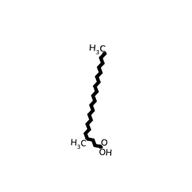 CCCCCCCCCCCCCCCCCCCC(C)CCC(=O)O